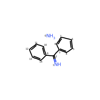 N.N=C(c1ccccc1)c1ccccc1